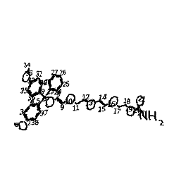 COc1ccc(C(OC=COCCOCCOCCOC(N)=O)(c2ccccc2)c2ccc(OC)cc2)cc1